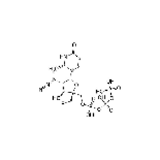 C=C1NC(=O)C=CN1[C@@H]1O[C@](CF)(COP(=O)(O)OP(=O)(O)OP(=O)(O)O)[C@@H](O)[C@@H]1N=[N+]=[N-]